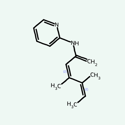 C=C(/C=C(C)\C(C)=C/C)Nc1ccccn1